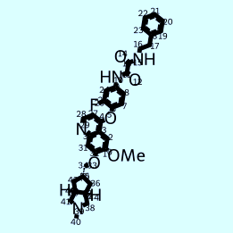 COc1cc2c(Oc3ccc(NC(=O)C(=O)NCCc4ccccc4)cc3F)ccnc2cc1OC[C@@H]1C[C@@H]2CN(C)C[C@@H]2C1